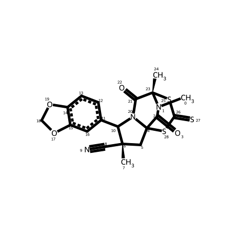 CN1C(=O)C23C[C@](C)(C#N)C(c4ccc5c(c4)OCO5)N2C(=O)[C@]1(C)SC(=S)S3